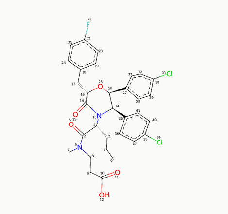 CCC[C@H](C(=O)N(C)CCC(=O)O)N1C(=O)[C@H](Cc2ccc(F)cc2)O[C@@H](c2ccc(Cl)cc2)[C@H]1c1ccc(Cl)cc1